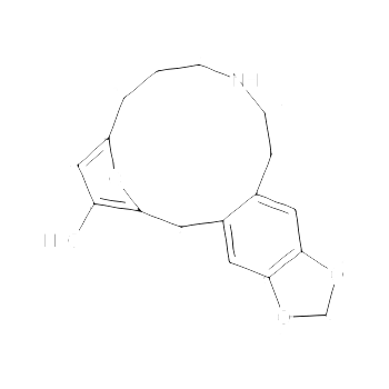 Cc1cc2oc1Cc1cc3c(cc1CCNCCC2)OCO3